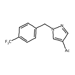 CC(=O)c1cnn(Cc2ccc(C(F)(F)F)cc2)c1